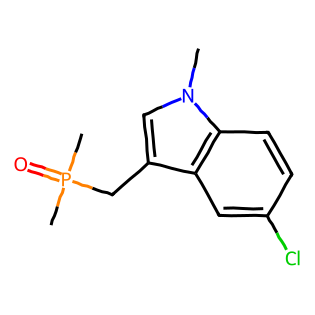 Cn1cc(CP(C)(C)=O)c2cc(Cl)ccc21